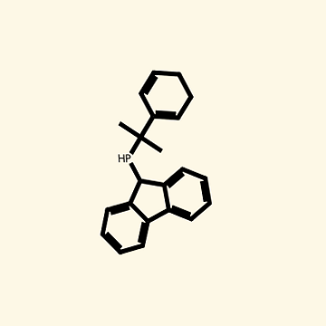 CC(C)(PC1c2ccccc2-c2ccccc21)C1=CCCC=C1